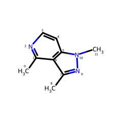 Cc1nccc2c1c(C)nn2C